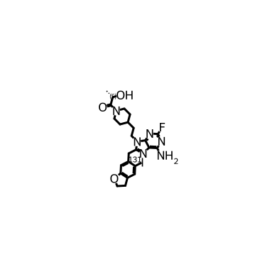 C[C@H](O)C(=O)N1CCC(CCn2c(Cc3cc4c(cc3[131I])CCO4)nc3c(N)nc(F)nc32)CC1